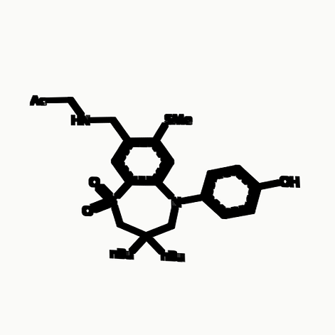 CCCCC1(CCCC)CN(c2ccc(O)cc2)c2cc(SC)c(CNCC(C)=O)cc2S(=O)(=O)C1